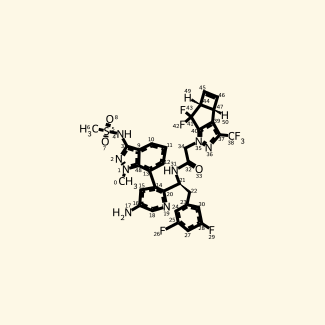 Cn1nc(NS(C)(=O)=O)c2cccc(-c3cc(N)cnc3[C@H](Cc3cc(F)cc(F)c3)NC(=O)Cn3nc(C(F)(F)F)c4c3C(F)(F)[C@@H]3C=C[C@H]43)c21